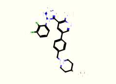 COC1CCN(Cc2ccc(-c3cnc(N)c(-c4nnnn4-c4cccc(Cl)c4Cl)c3)cc2)CC1